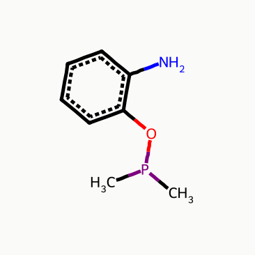 CP(C)Oc1ccccc1N